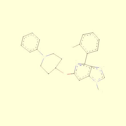 CC(C)c1ccccc1-c1nc(OC2CCN(c3ccccc3)CC2)cc2c1ncn2C